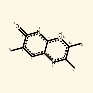 Cc1nc2cc(C)c(=O)nc-2[nH]c1C